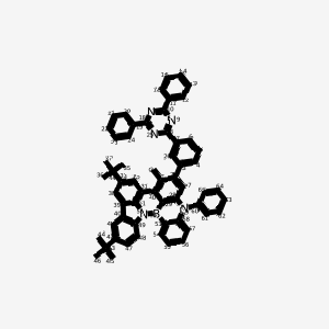 Cc1c(-c2cccc(-c3nc(-c4ccccc4)nc(-c4ccccc4)n3)c2)cc2c3c1-c1cc(C(C)(C)C)cc4c5cc(C(C)(C)C)ccc5n(c14)B3c1ccccc1N2c1ccccc1